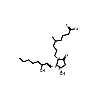 CCCCCC(O)/C=C/[C@H]1[C@H](O)CC(=O)[C@@H]1CCCC(C)CCCC(=O)O